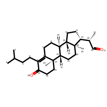 CC(C)CCC1=C2CC[C@H]3[C@@H]4CC[C@H]([C@H](C)C=O)[C@@]4(C)CC[C@@H]3[C@@]2(C)CCC1=O